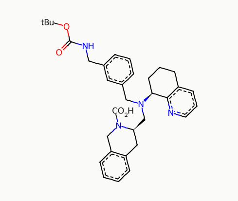 CC(C)(C)OC(=O)NCc1cccc(CN(C[C@H]2Cc3ccccc3CN2C(=O)O)[C@H]2CCCc3cccnc32)c1